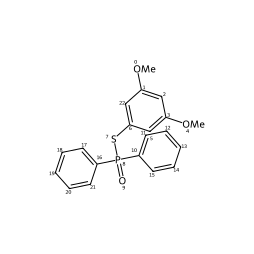 COc1cc(OC)cc(SP(=O)(c2ccccc2)c2ccccc2)c1